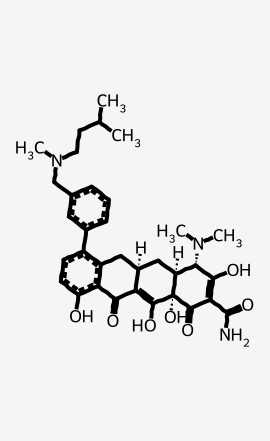 CC(C)CCN(C)Cc1cccc(-c2ccc(O)c3c2C[C@H]2C[C@H]4[C@H](N(C)C)C(O)=C(C(N)=O)C(=O)[C@@]4(O)C(O)=C2C3=O)c1